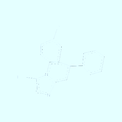 Cc1nnc2cc(-c3ccccc3)c3cc(Br)ccc3n12